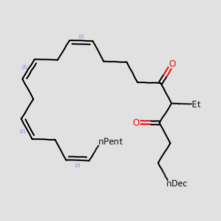 CCCCC/C=C\C/C=C\C/C=C\C/C=C\CCCC(=O)C(CC)C(=O)CCCCCCCCCCCC